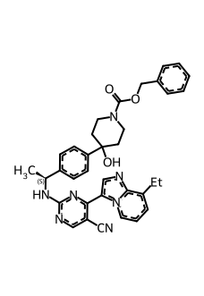 CCc1cccn2c(-c3nc(N[C@@H](C)c4ccc(C5(O)CCN(C(=O)OCc6ccccc6)CC5)cc4)ncc3C#N)cnc12